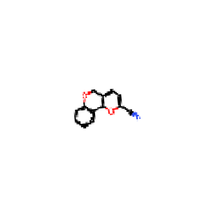 N#CC1=CC=C2COc3ccccc3C2O1